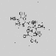 C=C(C)C(=O)O.C=C(C)C(=O)O.CC(OC(C)SS)SS